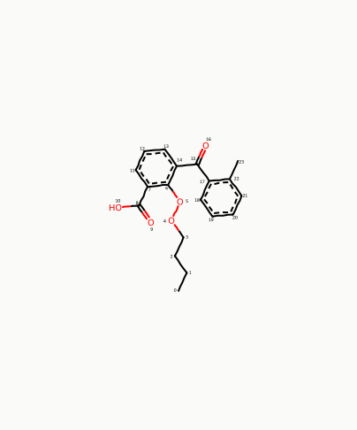 CCCCOOc1c(C(=O)O)cccc1C(=O)c1ccccc1C